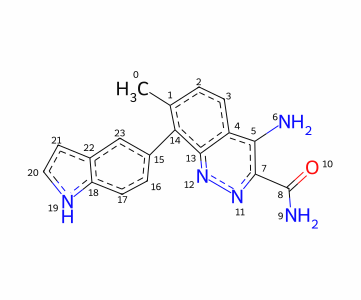 Cc1ccc2c(N)c(C(N)=O)nnc2c1-c1ccc2[nH]ccc2c1